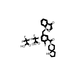 O=C(O)C(F)(F)F.O=C(O)C(F)(F)F.O=C(c1cc(Cn2ncc(=O)c3ccccc32)ccc1F)N1CCC2(CCCN2)CC1